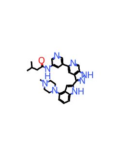 CC(C)CC(=O)Nc1cncc(-c2cc3c(-c4cc5c(N6CCN(C)CC6)cccc5[nH]4)n[nH]c3cn2)c1